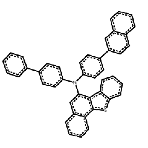 c1ccc(-c2ccc(N(c3ccc(-c4ccc5ccccc5c4)cc3)c3cc4ccccc4c4sc5ccccc5c34)cc2)cc1